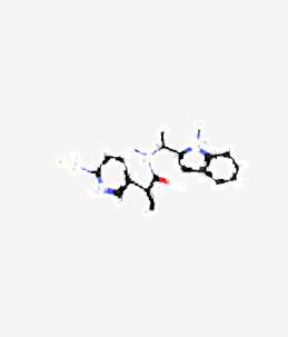 C=C(C(=O)N(C)C(C)c1cc2ccccc2n1C)c1ccc(N)nc1